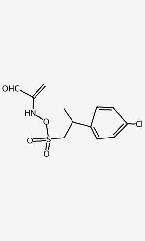 C=C(C=O)NOS(=O)(=O)CC(C)c1ccc(Cl)cc1